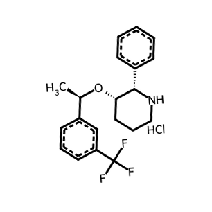 C[C@@H](O[C@H]1CCCN[C@H]1c1ccccc1)c1cccc(C(F)(F)F)c1.Cl